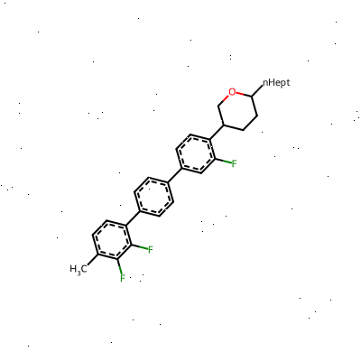 CCCCCCCC1CCC(c2ccc(-c3ccc(-c4ccc(C)c(F)c4F)cc3)cc2F)CO1